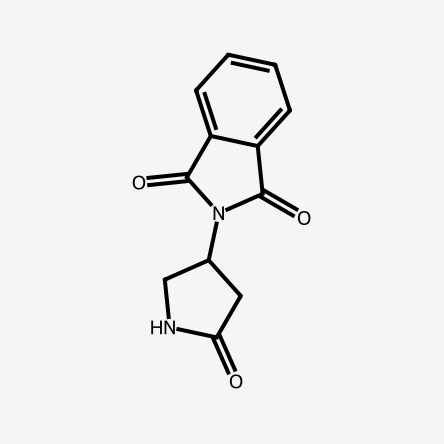 O=C1CC(N2C(=O)c3ccccc3C2=O)CN1